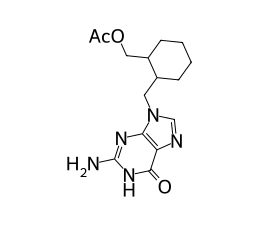 CC(=O)OCC1CCCCC1Cn1cnc2c(=O)[nH]c(N)nc21